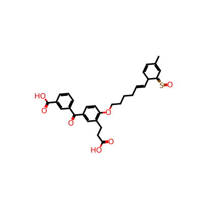 CC1=CC(=S=O)C(C=CCCCCOc2ccc(C(=O)c3cccc(C(=O)O)c3)cc2CCC(=O)O)C=C1